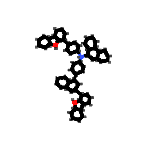 c1ccc2c(-c3ccc(N(c4ccc(-c5cccc6c5oc5ccccc56)cc4)c4cc5ccccc5c5ccccc45)cc3)cc(-c3cccc4c3oc3ccccc34)cc2c1